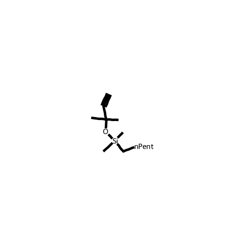 C#CC(C)(C)O[Si](C)(C)CCCCCC